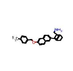 NCC1=C(c2ccc3cc(OCc4ccc(C(F)(F)F)cc4)ccc3c2)C2CCC1CC2